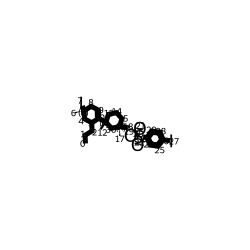 CCCC1C[C@@](C)(I)CC=C1[C@]1(C)CCC[C@@](C)(COS(=O)(=O)c2ccc(I)cc2)C1